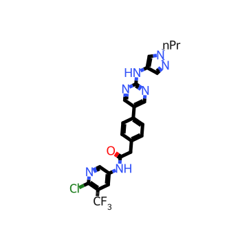 CCCn1cc(Nc2ncc(-c3ccc(CC(=O)Nc4cnc(Cl)c(C(F)(F)F)c4)cc3)cn2)cn1